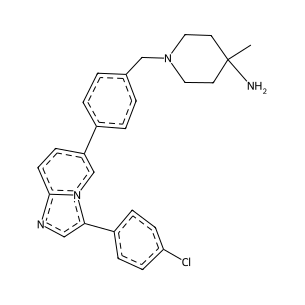 CC1(N)CCN(Cc2ccc(-c3ccc4ncc(-c5ccc(Cl)cc5)n4c3)cc2)CC1